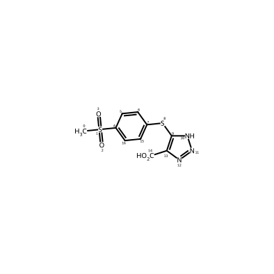 CS(=O)(=O)c1ccc(Sc2[nH]nnc2C(=O)O)cc1